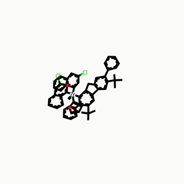 [CH2]=[Zr]([C]1=CC=CC1)([c]1c2c(cc(C(C)(C)C)c1-c1ccccc1)-c1cc(C(C)(C)C)c(-c3ccccc3)cc1C2)([c]1cc(Cl)cc2ccccc12)[c]1cc(Cl)cc2ccccc12